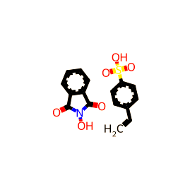 C=Cc1ccc(S(=O)(=O)O)cc1.O=C1c2ccccc2C(=O)N1O